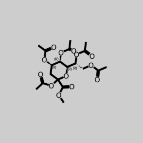 COC(=O)C1(OC(C)=O)C[C@@H](OC(C)=O)[C@@H](OC(C)=O)[C@@H]([C@@H](COC(C)=O)OC(C)=O)O1